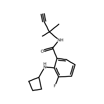 C#CC(C)(C)NC(=O)c1cccc(F)c1NC1CCC1